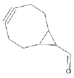 O=CC1C2CCC#CCCC12